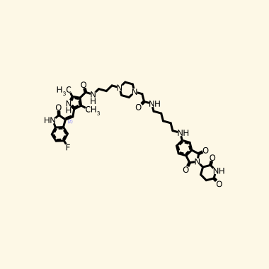 Cc1[nH]c(/C=C2\C(=O)Nc3ccc(F)cc32)c(C)c1C(=O)NCCCN1CCN(CC(=O)NCCCCCNc2ccc3c(c2)C(=O)N(C2CCC(=O)NC2=O)C3=O)CC1